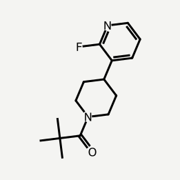 CC(C)(C)C(=O)N1CCC(c2cccnc2F)CC1